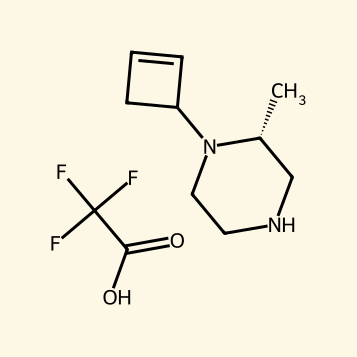 C[C@@H]1CNCCN1C1C=CC1.O=C(O)C(F)(F)F